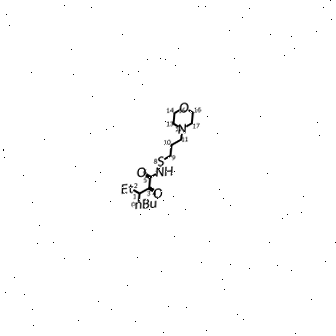 CCCCC(CC)C(=O)C(=O)NSCCCN1CCOCC1